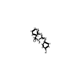 Cn1c(=Nc2ccc(I)cc2)sc2ncccc2c1=O